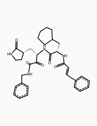 O=C(/C=C/c1ccccc1)N[C@@H](CC1CCCCC1)C(=O)N[C@@H](C[C@@H]1CCNC1=O)C(=O)C(=O)NCc1ccccc1